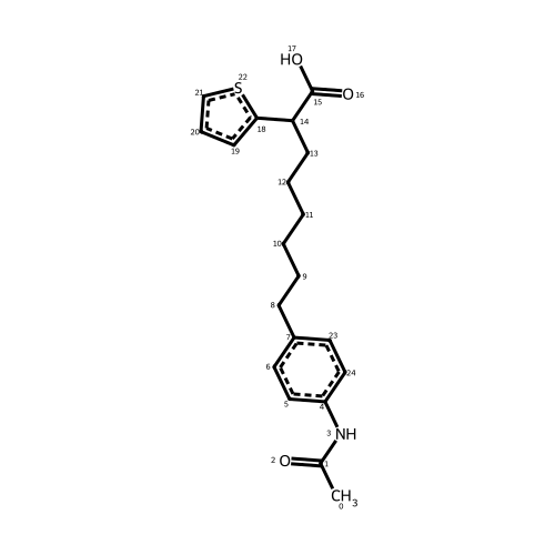 CC(=O)Nc1ccc(CCCCCCC(C(=O)O)c2cccs2)cc1